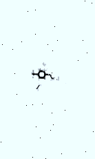 CCCOc1c(C(F)(F)F)cc(OC)c(CCN)c1F